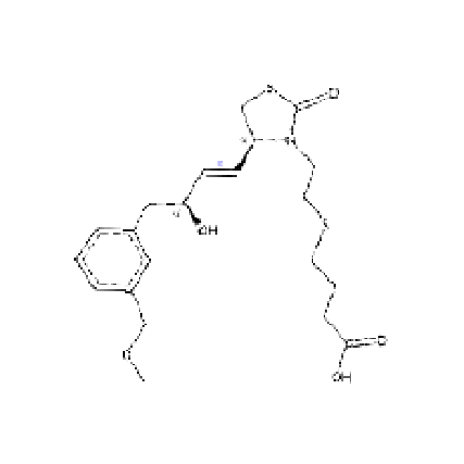 COCc1cccc(C[C@H](O)/C=C/[C@H]2CSC(=O)N2CCSCCCC(=O)O)c1